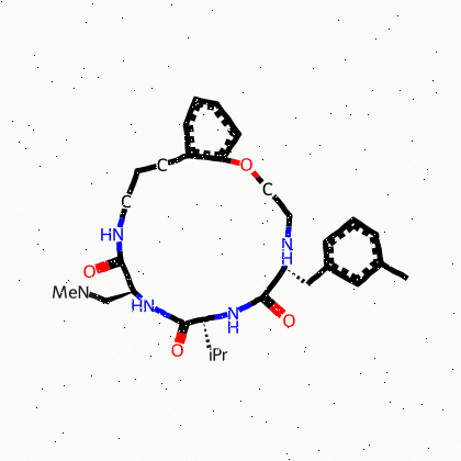 CNC[C@@H]1NC(=O)[C@@H](C(C)C)NC(=O)[C@@H](Cc2cccc(C)c2)NCCOc2ccccc2CCCNC1=O